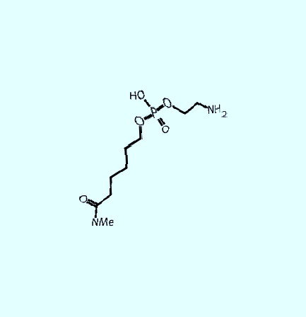 CNC(=O)CCCCCOP(=O)(O)OCCN